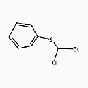 [CH2]CC(Cl)Sc1ccccc1